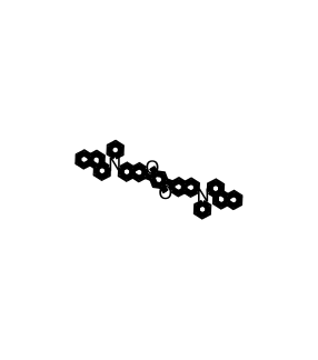 c1ccc(N(c2ccc3cc4c(cc3c2)oc2cc3c(cc24)oc2cc4cc(N(c5ccccc5)c5cccc6c5ccc5ccccc56)ccc4cc23)c2cccc3c2ccc2ccccc23)cc1